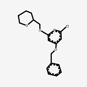 Clc1cc(OCc2ccccc2)cc(OCC2CCCCO2)n1